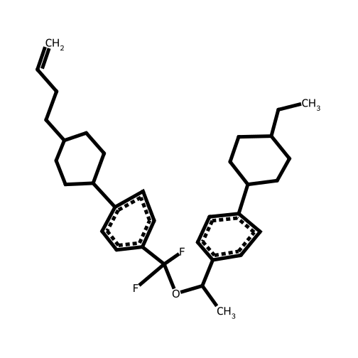 C=CCCC1CCC(c2ccc(C(F)(F)OC(C)c3ccc(C4CCC(CC)CC4)cc3)cc2)CC1